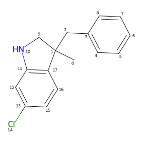 CC1(Cc2ccccc2)CNc2cc(Cl)ccc21